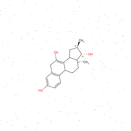 C[C@@H]1CC2C3=C(O)Cc4cc(O)ccc4C3CC[C@]2(C)[C@H]1O